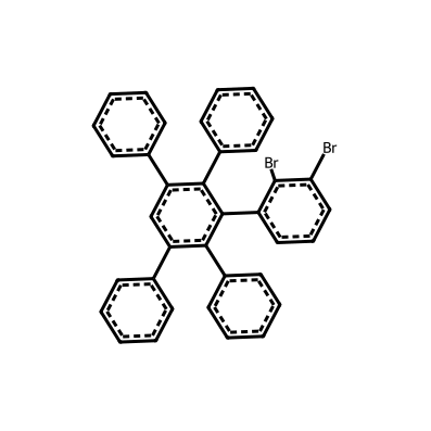 Brc1cccc(-c2c(-c3ccccc3)c(-c3ccccc3)cc(-c3ccccc3)c2-c2ccccc2)c1Br